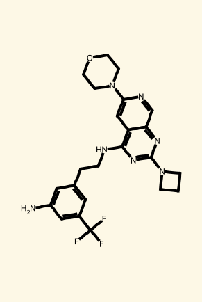 Nc1cc(CCNc2nc(N3CCC3)nc3cnc(N4CCOCC4)cc23)cc(C(F)(F)F)c1